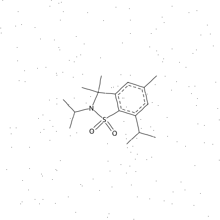 Cc1cc(C(C)C)c2c(c1)C(C)(C)N(C(C)C)S2(=O)=O